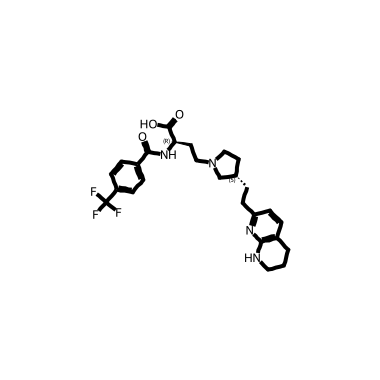 O=C(N[C@H](CCN1CC[C@H](CCc2ccc3c(n2)NCCC3)C1)C(=O)O)c1ccc(C(F)(F)F)cc1